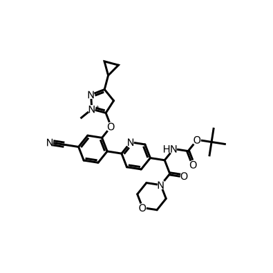 C[N+]1=C(Oc2cc(C#N)ccc2-c2ccc(C(NC(=O)OC(C)(C)C)C(=O)N3CCOCC3)cn2)CC(C2CC2)=N1